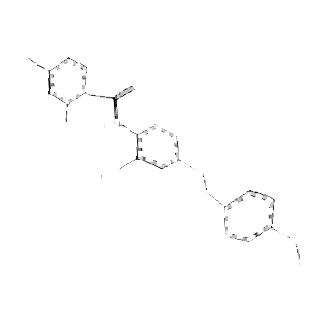 CCOc1ccc(COc2ccc(NC(=O)c3ccc(Cl)cc3Cl)c(C(=O)O)c2)cc1